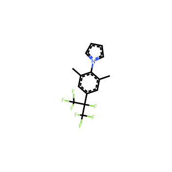 Cc1cc(C(F)(C(F)(F)F)C(F)(F)F)cc(C)c1-n1cccc1